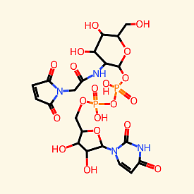 O=C(CN1C(=O)C=CC1=O)NC1C(OP(=O)(O)OP(=O)(O)OCC2OC(n3ccc(=O)[nH]c3=O)C(O)C2O)OC(CO)C(O)C1O